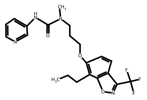 CCCc1c(OCCCN(C)C(=O)Nc2cccnc2)ccc2c(C(F)(F)F)noc12